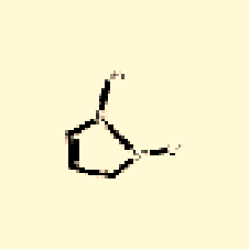 CC(C)N1C=CC[S+]1[O-]